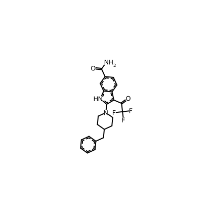 NC(=O)c1ccc2c(C(=O)C(F)(F)F)c(N3CCC(Cc4ccccc4)CC3)[nH]c2c1